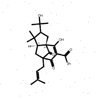 CC(C)=CCC12C[C@H]3C(C)(C)C(C(C)(C)O)C[C@]3(C1=O)C(O)=C(C(=O)C(C)C)C2=O